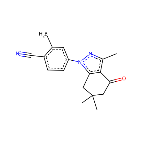 Bc1cc(-n2nc(C)c3c2CC(C)(C)CC3=O)ccc1C#N